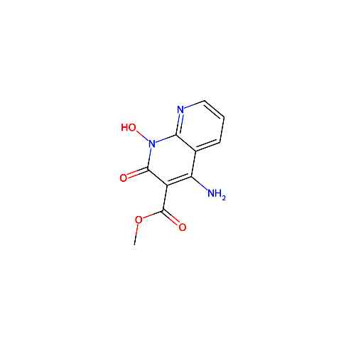 COC(=O)c1c(N)c2cccnc2n(O)c1=O